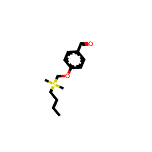 CCCCS(C)(C)COc1ccc(C=O)cc1